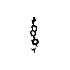 CC=CC1CCC2CC(c3ccc(OC(F)F)cc3)CCC2C1